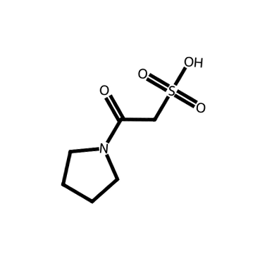 O=C(CS(=O)(=O)O)N1CCCC1